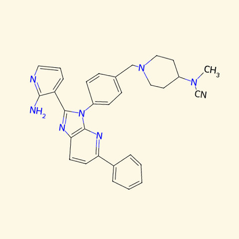 CN(C#N)C1CCN(Cc2ccc(-n3c(-c4cccnc4N)nc4ccc(-c5ccccc5)nc43)cc2)CC1